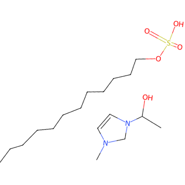 CC(O)N1C=CN(C)C1.CCCCCCCCCCCCOS(=O)(=O)O